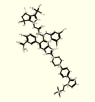 C[C@H]1CC(F)(F)c2c1c(C(F)(F)F)nn2CC(=O)N[C@@H](Cc1cc(F)cc(F)c1)c1nc2nc(N3CCN(c4ccc(-c5nccn5CCS(C)(C)C)cc4)CC3)sc2cc1-c1ccc(F)c(C(N)=O)c1